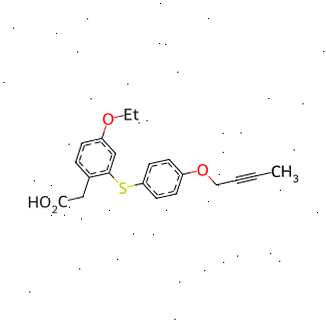 CC#CCOc1ccc(Sc2cc(OCC)ccc2CC(=O)O)cc1